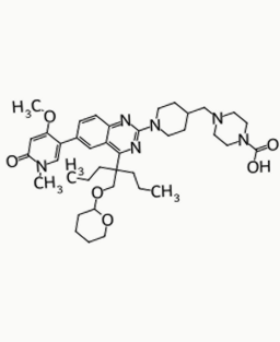 CCCC(CCC)(COC1CCCCO1)c1nc(N2CCC(CN3CCN(C(=O)O)CC3)CC2)nc2ccc(-c3cn(C)c(=O)cc3OC)cc12